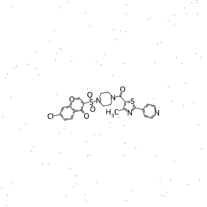 Cc1nc(-c2ccncc2)sc1C(=O)N1CCN(S(=O)(=O)c2coc3cc(Cl)ccc3c2=O)CC1